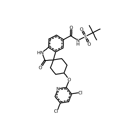 CC(C)(C)S(=O)(=O)NC(=O)c1ccc2c(c1)C1(CCC(Oc3ncc(Cl)cc3Cl)CC1)C(=O)N2